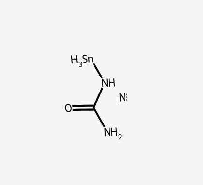 NC(=O)[NH][SnH3].[N]